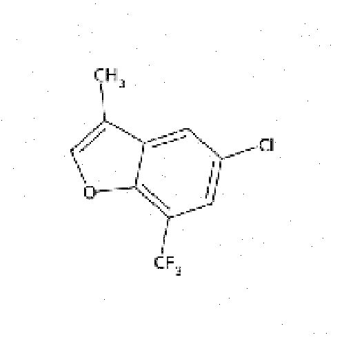 Cc1coc2c(C(F)(F)F)cc(Cl)cc12